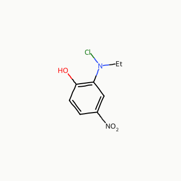 CCN(Cl)c1cc([N+](=O)[O-])ccc1O